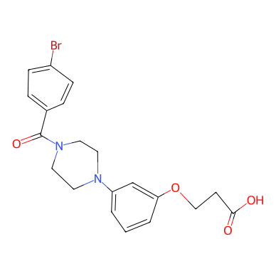 O=C(O)CCOc1cccc(N2CCN(C(=O)c3ccc(Br)cc3)CC2)c1